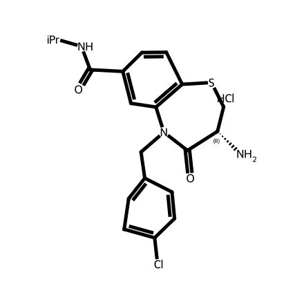 CC(C)NC(=O)c1ccc2c(c1)N(Cc1ccc(Cl)cc1)C(=O)[C@@H](N)CS2.Cl